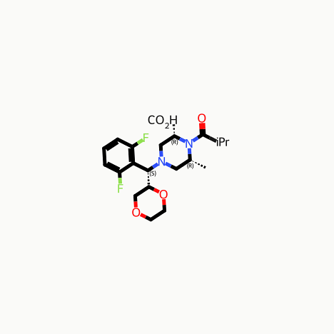 CC(C)C(=O)N1[C@H](C)CN([C@@H](c2c(F)cccc2F)C2COCCO2)C[C@@H]1C(=O)O